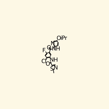 Cc1ncc(C(=O)Nc2cc(C(=O)Nc3ccc(OC(C)C)cn3)c(F)cc2Cl)s1